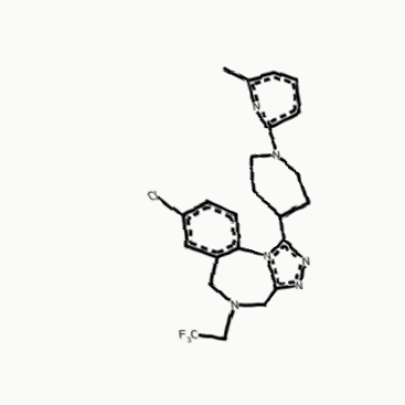 Cc1cccc(N2CCC(c3nnc4n3-c3ccc(Cl)cc3CN(CC(F)(F)F)C4)CC2)n1